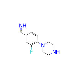 N=Cc1ccc(N2CCNCC2)c(F)c1